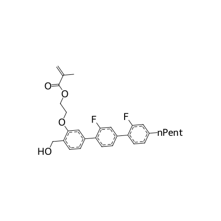 C=C(C)C(=O)OCCOc1cc(-c2ccc(-c3ccc(CCCCC)cc3F)cc2F)ccc1CO